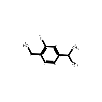 CC(C)c1ccc(CO)c(F)c1